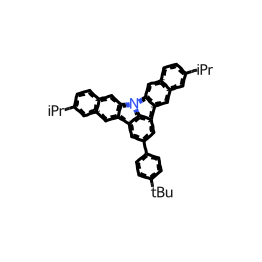 CC(C)c1ccc2cc3c(cc2c1)c1cc(-c2ccc(C(C)(C)C)cc2)cc2c4cc5cc(C(C)C)ccc5cc4n3c12